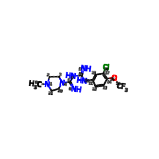 CN1CCN(C(=N)NC(=N)Nc2ccc(OC(F)(F)F)c(Cl)c2)CC1